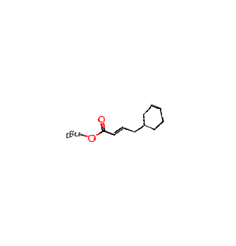 CC(C)(C)OC(=O)/C=C/CC1CCCCC1